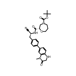 CN1C(=O)CNc2ccc(-c3ccc(C[C@@H](C#N)NC(=O)[C@@H]4CN(C(=O)OC(C)(C)C)CCCO4)cc3)cc21